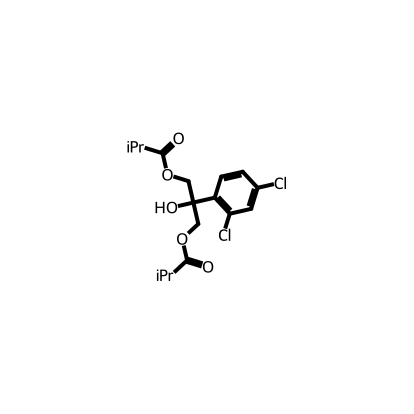 CC(C)C(=O)OCC(O)(COC(=O)C(C)C)c1ccc(Cl)cc1Cl